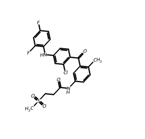 Cc1ccc(NC(=O)CCS(C)(=O)=O)cc1C(=O)c1ccc(Nc2ccc(F)cc2F)cc1Cl